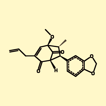 C=CCC1=C[C@@]2(OC)C(=O)[C@@H](C1=O)[C@H](c1ccc3c(c1)OCO3)[C@H]2C